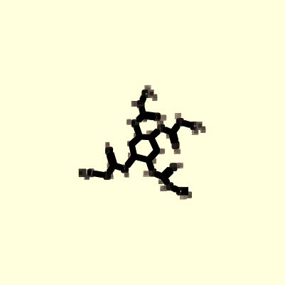 COC(=O)OC1CC(OC(=O)OC)C(OC(=O)OC)CC1OC(=O)OC